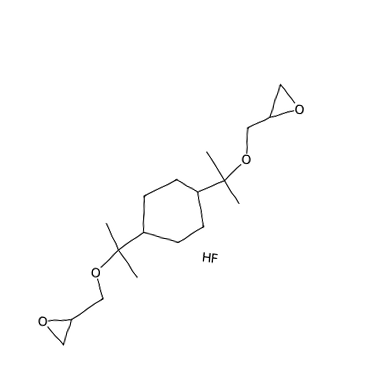 CC(C)(OCC1CO1)C1CCC(C(C)(C)OCC2CO2)CC1.F